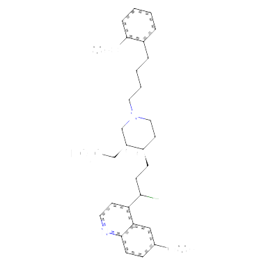 COc1ccc2nccc(C(F)CC[C@@H]3CCN(CCCCc4ccccc4OC)C[C@@H]3CC(=O)O)c2c1